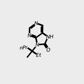 CCCC(C)(CC)n1c(=O)[nH]c2cncnc21